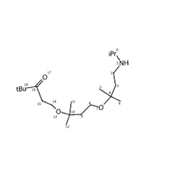 CC(C)NCCC(C)(C)OCCC(C)(C)OCCC(=O)C(C)(C)C